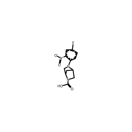 O=C(O)N1CC2CC1CN2c1ccc(F)cc1[N+](=O)[O-]